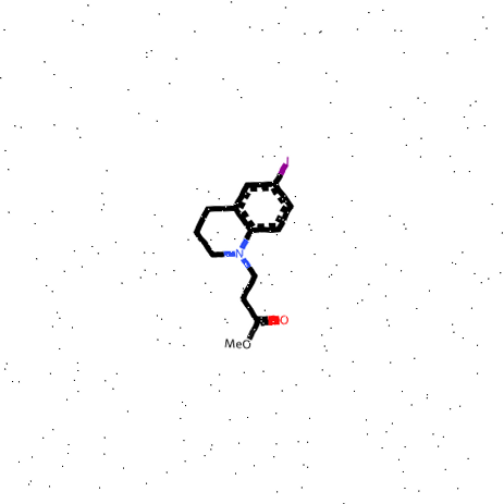 COC(=O)CCN1CCCc2cc(I)ccc21